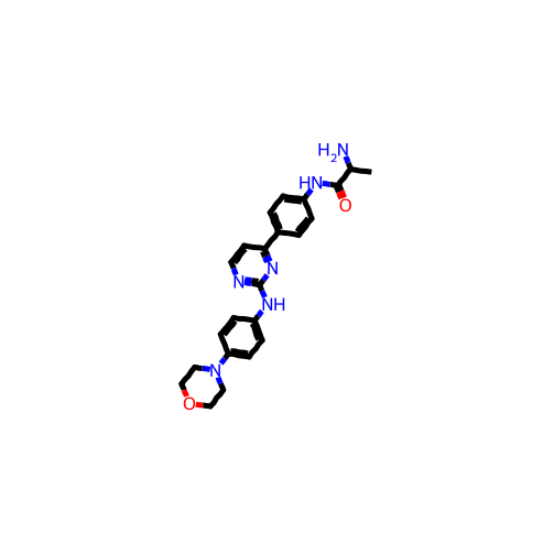 CC(N)C(=O)Nc1ccc(-c2ccnc(Nc3ccc(N4CCOCC4)cc3)n2)cc1